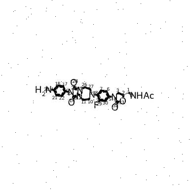 CC(=O)NC[C@H]1CN(c2ccc(N3CCn4c(=O)n(-c5ccc(N)cc5)c(=O)n4CC3)c(F)c2)C(=O)O1